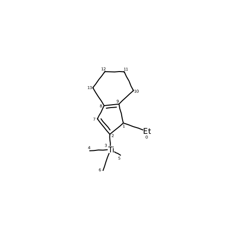 CCC1[C]([Ti]([CH3])([CH3])[CH3])=CC2=C1CCCC2